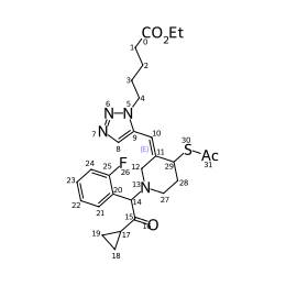 CCOC(=O)CCCCn1nncc1/C=C1\CN(C(C(=O)C2CC2)c2ccccc2F)CCC1SC(C)=O